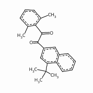 Cc1cccc(C)c1C(=O)C(=O)c1cc(C(C)(C)C)c2ccccc2c1